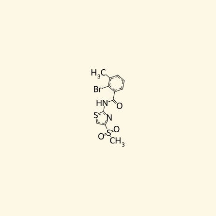 Cc1cccc(C(=O)Nc2nc(S(C)(=O)=O)cs2)c1Br